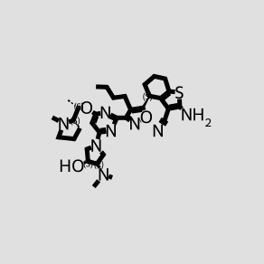 CCCCc1c(-c2nc(O[C@@H](C)[C@@H]3CCCN3C)cc(N3C[C@@H](N(C)C)[C@@H](O)C3)n2)noc1[C@H]1CCCc2sc(N)c(C#N)c21